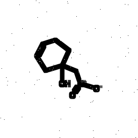 O=[N+]([O-])CC1(O)CC=CCC1